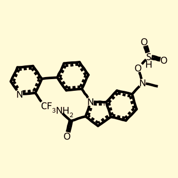 CN(O[SH](=O)=O)c1ccc2cc(C(N)=O)n(-c3cccc(-c4cccnc4C(F)(F)F)c3)c2c1